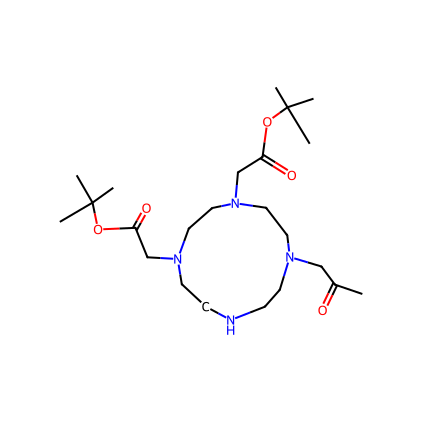 CC(=O)CN1CCNCCN(CC(=O)OC(C)(C)C)CCN(CC(=O)OC(C)(C)C)CC1